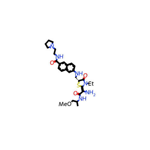 CCN1C(=O)[C@@H](CNc2ccc3cc(C(=O)NCCN4CCCC4)ccc3c2)S/C1=C(/N)C(=O)NC(C)COC